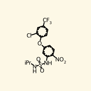 CC(C)NS(=O)(=O)Nc1cc(Oc2ccc(C(F)(F)F)cc2Cl)ccc1[N+](=O)[O-]